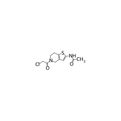 CC(=O)Nc1cc2c(s1)CCN(C(=O)CCl)C2